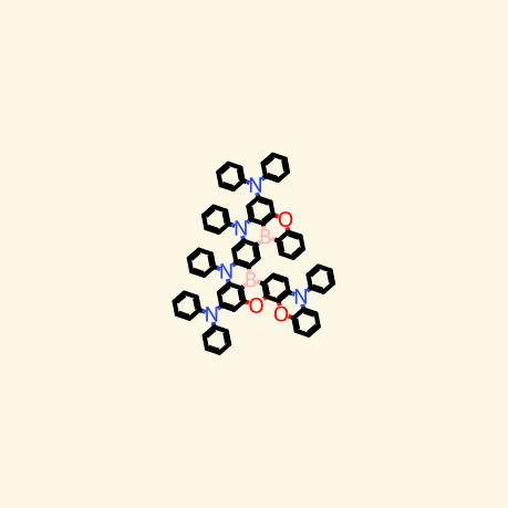 c1ccc(N(c2ccccc2)c2cc3c4c(c2)N(c2ccccc2)c2cc5c(cc2B4c2ccccc2O3)B2c3ccc4c(c3Oc3cc(N(c6ccccc6)c6ccccc6)cc(c32)N5c2ccccc2)Oc2ccccc2N4c2ccccc2)cc1